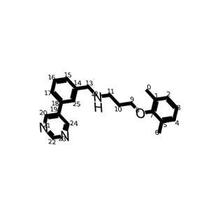 Cc1cccc(C)c1OCCCNCc1cccc(-c2cncnc2)c1